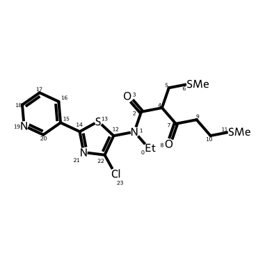 CCN(C(=O)C(CSC)C(=O)CCSC)c1sc(-c2cccnc2)nc1Cl